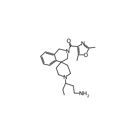 CCC(CCN)N1CCC2(CC1)CN(C(=O)c1nc(C)oc1C)Cc1ccccc12